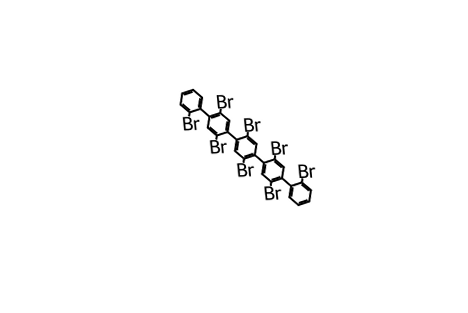 Brc1ccccc1-c1cc(Br)c(-c2cc(Br)c(-c3cc(Br)c(-c4ccccc4Br)cc3Br)cc2Br)cc1Br